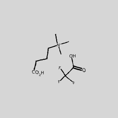 C[N+](C)(C)CCCC(=O)O.O=C(O)C(F)(F)F